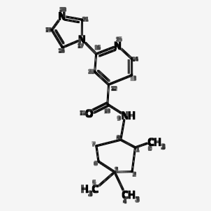 CC1CC(C)(C)CCC1NC(=O)c1ccnc(-n2ccnc2)c1